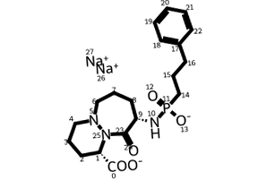 O=C([O-])[C@@H]1CCCN2CCC[C@H](NP(=O)([O-])CCCc3ccccc3)C(=O)N12.[Na+].[Na+]